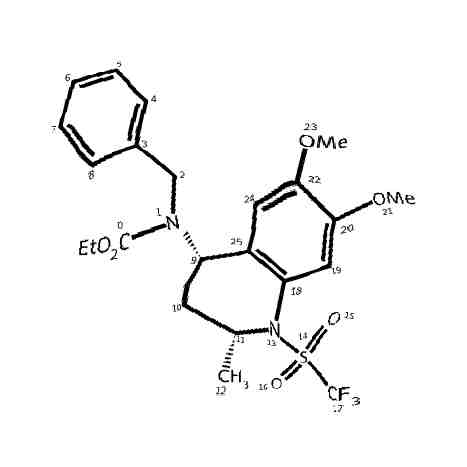 CCOC(=O)N(Cc1ccccc1)[C@H]1C[C@@H](C)N(S(=O)(=O)C(F)(F)F)c2cc(OC)c(OC)cc21